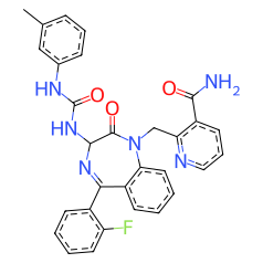 Cc1cccc(NC(=O)NC2N=C(c3ccccc3F)c3ccccc3N(Cc3ncccc3C(N)=O)C2=O)c1